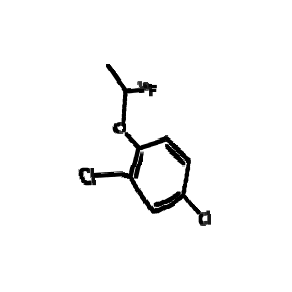 CC([18F])Oc1ccc(Cl)cc1Cl